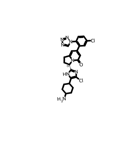 NC1CCC(c2[nH]c([C@@H]3CCc4cc(-c5cc(Cl)ccc5-n5cnnn5)cc(=O)n43)nc2Cl)CC1